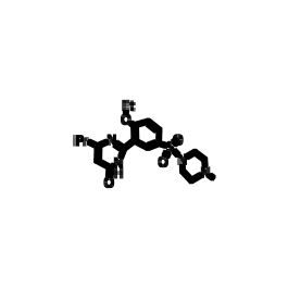 CCOc1ccc(S(=O)(=O)N2CCN(C)CC2)cc1-c1nc(C(C)C)cc(=O)[nH]1